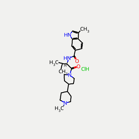 Cc1c[nH]c2cc(C(=O)N[C@@H](C(=O)N3CCC(C4CCN(C)CC4)CC3)C(C)C)ccc12.Cl